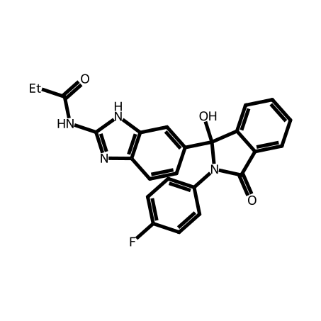 CCC(=O)Nc1nc2ccc(C3(O)c4ccccc4C(=O)N3c3ccc(F)cc3)cc2[nH]1